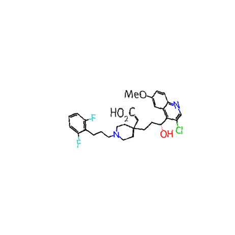 COc1ccc2ncc(Cl)c([C@H](O)CCC3(CC(=O)O)CCN(CCCc4c(F)cccc4F)CC3)c2c1